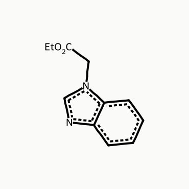 CCOC(=O)Cn1cnc2ccccc21